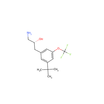 CC(C)(C)c1cc(C[C@@H](O)CN)cc(OC(F)(F)F)c1